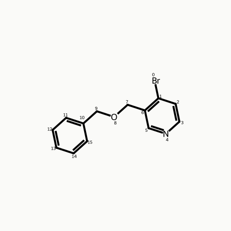 Brc1ccncc1COCc1ccccc1